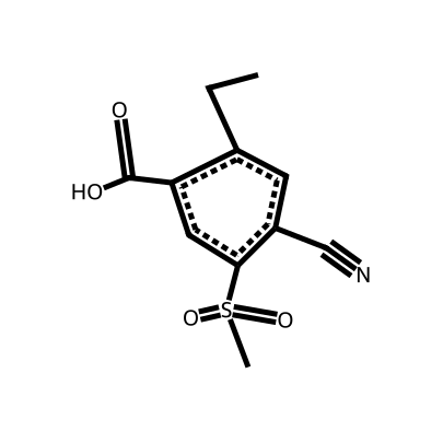 CCc1cc(C#N)c(S(C)(=O)=O)cc1C(=O)O